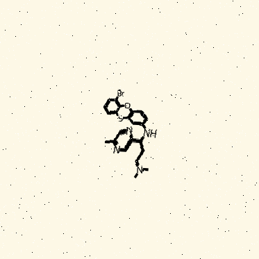 Cc1cnc(C(CCN(C)C)Nc2ccc3c(c2)Sc2cccc(Br)c2O3)cn1